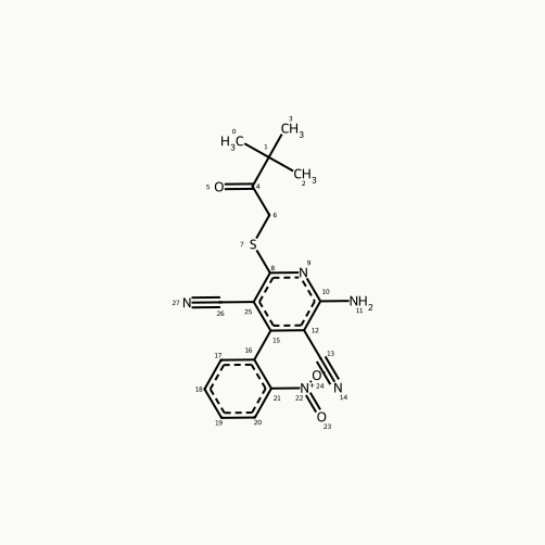 CC(C)(C)C(=O)CSc1nc(N)c(C#N)c(-c2ccccc2[N+](=O)[O-])c1C#N